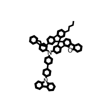 CCCCc1ccc2c(c1)C1(c3cc(CCCC)ccc3-2)c2cc(N(c3ccc(-c4ccccc4)cc3)c3ccc(-c4ccc(-n5c6ccccc6c6ccccc65)cc4)cc3)ccc2-c2c1ccc1c2oc2ccccc21